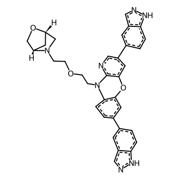 c1cc2c(cc1-c1ccc3[nH]ncc3c1)Oc1cc(-c3ccc4[nH]ncc4c3)cnc1N2CCOCCN1C[C@@H]2C[C@H]1CO2